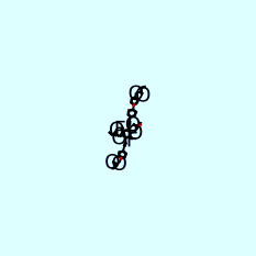 C=CC(=O)Oc1ccc(C#Cc2c(F)c(OC(=O)C=C)c(C#Cc3ccc(-c4ccc(OC(=O)C=C)cc4)cc3)c(F)c2OC(=O)C=C)cc1